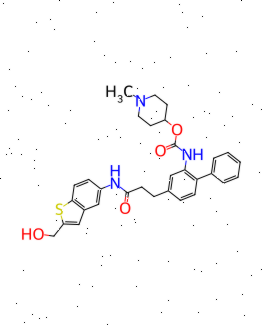 CN1CCC(OC(=O)Nc2cc(CCC(=O)Nc3ccc4sc(CO)cc4c3)ccc2-c2ccccc2)CC1